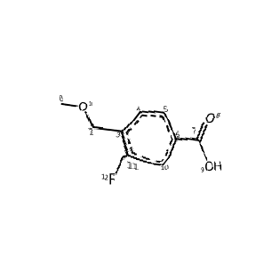 COCc1ccc(C(=O)O)cc1F